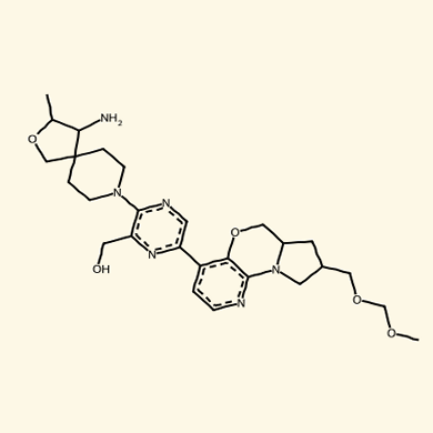 COCOCC1CC2COc3c(-c4cnc(N5CCC6(CC5)COC(C)C6N)c(CO)n4)ccnc3N2C1